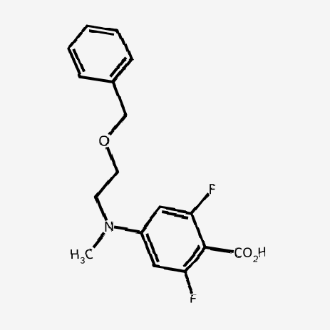 CN(CCOCc1ccccc1)c1cc(F)c(C(=O)O)c(F)c1